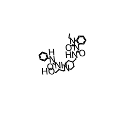 CCn1c(=O)n(C(=O)NCC2CCN(CC(CO)NC(=O)Nc3ccccc3)CC2)c2ccccc21